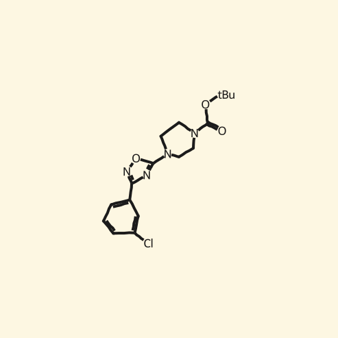 CC(C)(C)OC(=O)N1CCN(c2nc(-c3cccc(Cl)c3)no2)CC1